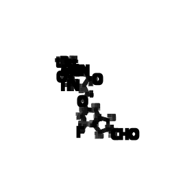 CNC(=O)C(COc1cc(F)c2c(c1)CC(C=O)C2)NC(=O)OC(C)(C)C